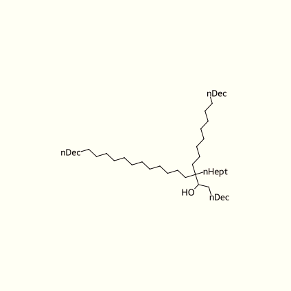 CCCCCCCCCCCCCCCCCCCCCCC(CCCCCCC)(CCCCCCCCCCCCCCCCCC)C(O)CCCCCCCCCCC